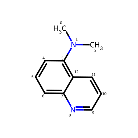 CN(C)c1cccc2ncccc12